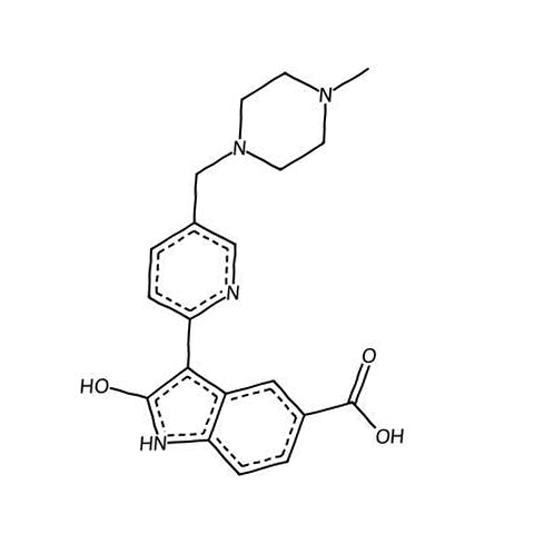 CN1CCN(Cc2ccc(-c3c(O)[nH]c4ccc(C(=O)O)cc34)nc2)CC1